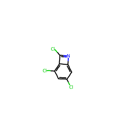 ClC1=Nc2cc(Cl)cc(Cl)c21